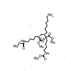 CC(C)(C)OC(=O)NCCCCN(CC(CCCCCCN)C(N)(CCCCNC(=O)OC(C)(C)C)C(=O)OC(C)(C)C)C(=O)OC(C)(C)C